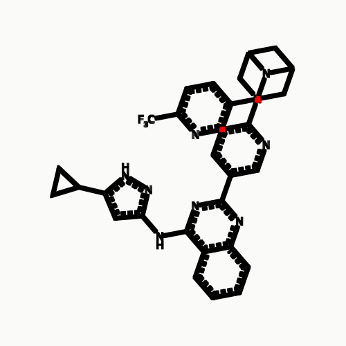 FC(F)(F)c1ccc(CN2C3CC2CN(c2ccc(-c4nc(Nc5cc(C6CC6)[nH]n5)c5ccccc5n4)cn2)C3)cn1